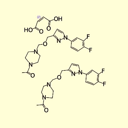 CC(=O)N1CCN(COCc2ccn(-c3ccc(F)c(F)c3)n2)CC1.CC(=O)N1CCN(COCc2ccn(-c3ccc(F)c(F)c3)n2)CC1.O=C(O)/C=C\C(=O)O